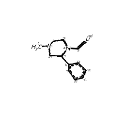 CN1CCN(C=O)C(c2ccccc2)C1